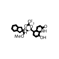 COCC1(NC[C@H](OC(=O)C(F)(F)F)c2ccc(O)c3[nH]c(=O)ccc23)Cc2ccccc2C1